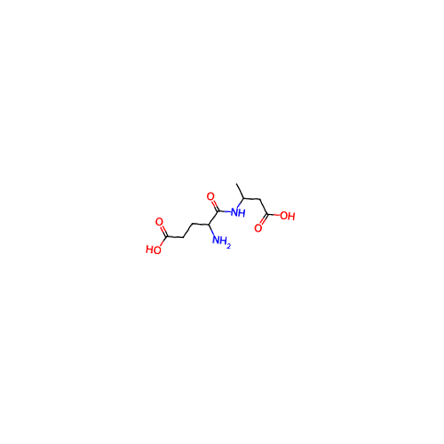 CC(CC(=O)O)NC(=O)C(N)CCC(=O)O